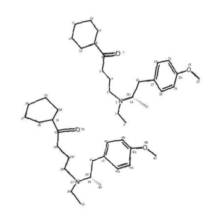 CCN(CCCC(=O)C1CCCCC1)[C@@H](C)Cc1ccc(OC)cc1.CCN(CCCC(=O)C1CCCCC1)[C@@H](C)Cc1ccc(OC)cc1